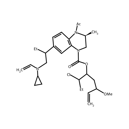 C=CC(CC(OC(=O)N1C[C@H](C)N(C(C)=O)c2ccc(C(CC)CN(C=C)C3CC3)cc21)C(Cl)CC)OC